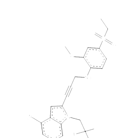 CCS(=O)(=O)c1ccc(NCC#Cc2cc3c(N)cccc3n2CC(F)(F)F)c(OC)c1